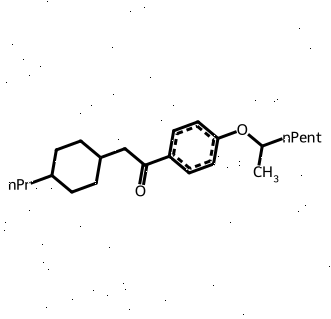 CCCCCC(C)Oc1ccc(C(=O)CC2CCC(CCC)CC2)cc1